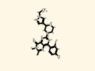 Cc1nc2c(-c3ccc(Cl)cc3F)nc(N3CCOC(c4cnn(CC(F)(F)F)c4)C3)nc2c(=O)n1C